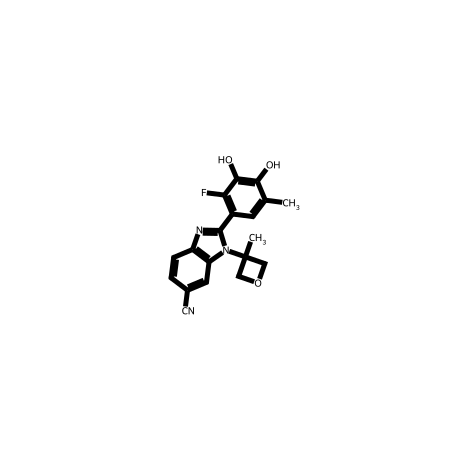 Cc1cc(-c2nc3ccc(C#N)cc3n2C2(C)COC2)c(F)c(O)c1O